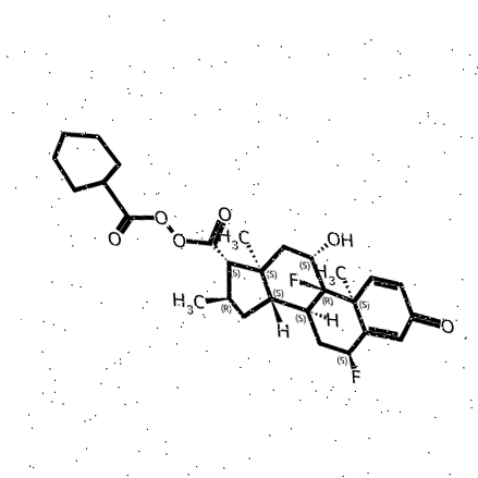 C[C@@H]1C[C@H]2[C@@H]3C[C@H](F)C4=CC(=O)C=C[C@]4(C)[C@@]3(F)[C@@H](O)C[C@]2(C)[C@H]1C(=O)OOC(=O)C1CCCCC1